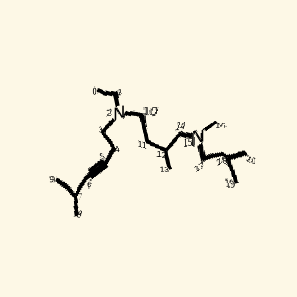 CCN(CCC#CC(C)C)CCC(C)CN(C)CC(C)C